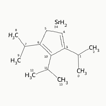 CC(C)C1=CCC(C(C)C)=C1C(C)C.[SrH2]